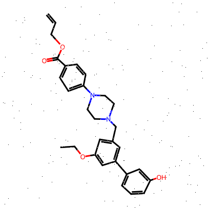 C=CCOC(=O)c1ccc(N2CCN(Cc3cc(OCC)cc(-c4cccc(O)c4)c3)CC2)cc1